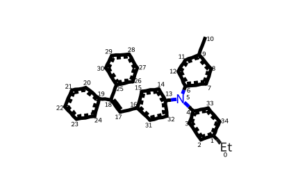 CCc1ccc(N(c2ccc(C)cc2)c2ccc(C=C(c3ccccc3)c3ccccc3)cc2)cc1